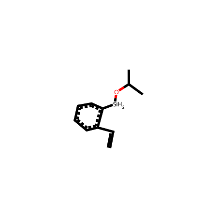 C=Cc1ccccc1[SiH2]OC(C)C